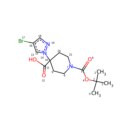 CC(C)(C)OC(=O)N1CCC(C(=O)O)(n2cc(Br)cn2)CC1